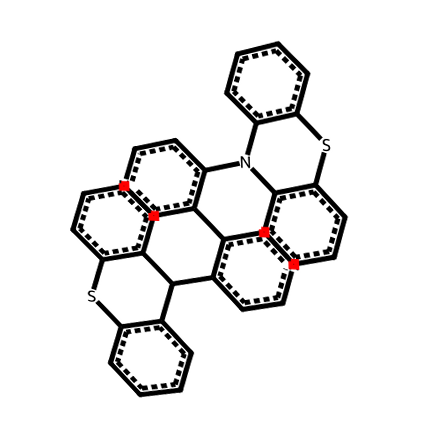 c1ccc2c(c1)Sc1ccccc1C2c1ccncc1-c1cnccc1N1c2ccccc2Sc2ccccc21